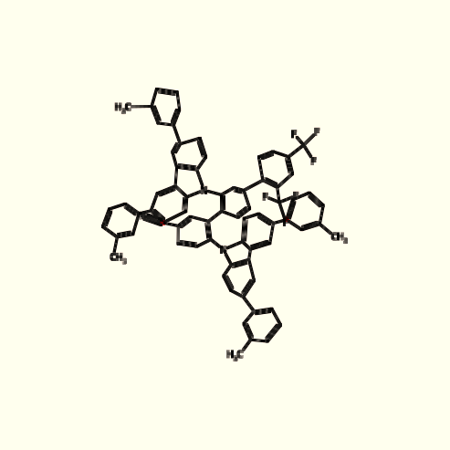 Cc1cccc(-c2ccc3c(c2)c2cc(-c4cccc(C)c4)ccc2n3-c2ccc(C#N)cc2-c2ccc(-c3ccc(C(F)(F)F)cc3C(F)(F)F)cc2-n2c3ccc(-c4cccc(C)c4)cc3c3cc(-c4cccc(C)c4)ccc32)c1